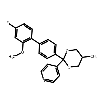 COc1cc(F)ccc1-c1ccc(C2(c3ccncc3)OCC(C)CO2)cc1